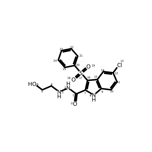 O=C(NNCCO)c1[nH]c2ccc(Cl)cc2c1S(=O)(=O)c1ccccc1